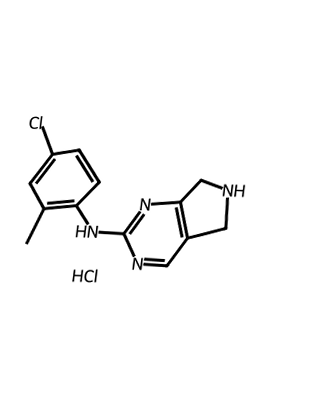 Cc1cc(Cl)ccc1Nc1ncc2c(n1)CNC2.Cl